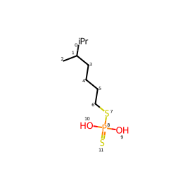 CC(C)C(C)CCCCSP(O)(O)=S